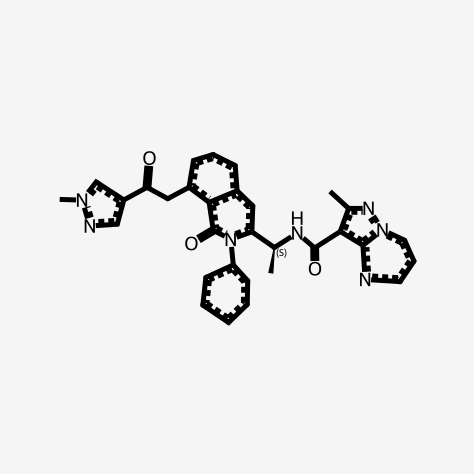 Cc1nn2cccnc2c1C(=O)N[C@@H](C)c1cc2cccc(CC(=O)c3cnn(C)c3)c2c(=O)n1-c1ccccc1